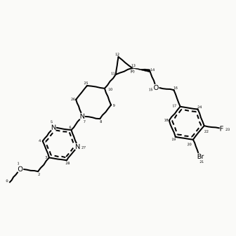 COCc1cnc(N2CCC(C3C[C@H]3COCc3ccc(Br)c(F)c3)CC2)nc1